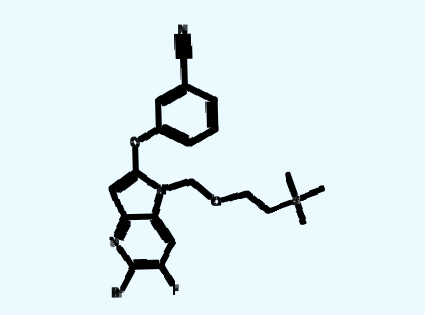 C[Si](C)(C)CCOCn1c(Oc2cccc(C#N)c2)cc2nc(Br)c(F)cc21